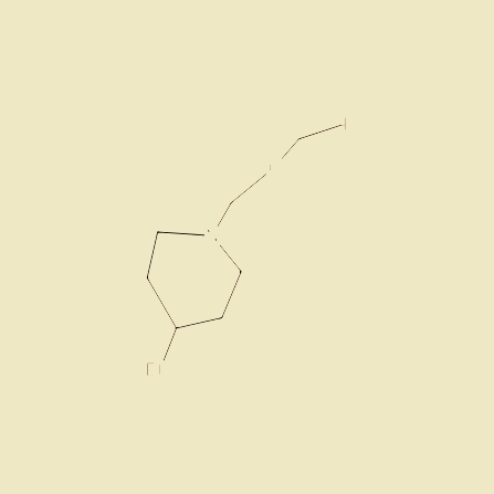 CCC1CCN(CCCI)CC1